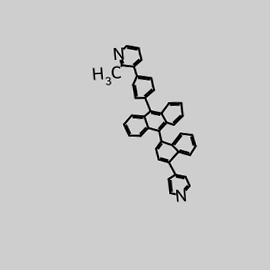 Cc1ncccc1-c1ccc(-c2c3ccccc3c(-c3ccc(-c4ccncc4)c4ccccc34)c3ccccc23)cc1